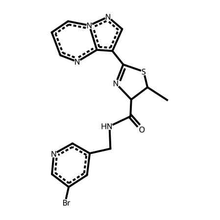 CC1SC(c2cnn3cccnc23)=NC1C(=O)NCc1cncc(Br)c1